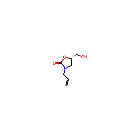 C=CCN1C[C@@H](CO)OC1=O